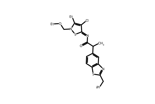 CCOCn1sc(=NC(=O)C(C)c2ccc3sc(CC(C)C)nc3c2)c(Cl)c1CC